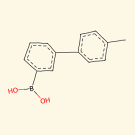 Cc1ccc(-c2cccc(B(O)O)c2)cc1